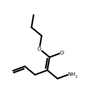 C=CCC(CN)=C([O])OC[CH]C